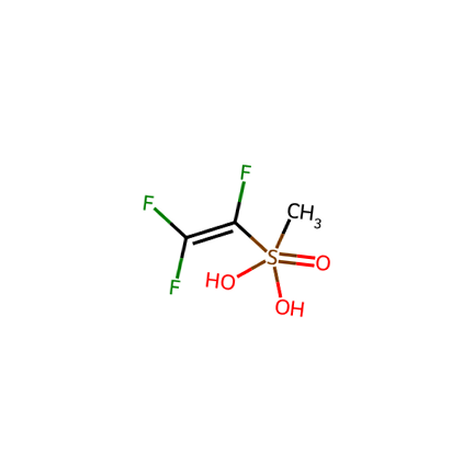 CS(=O)(O)(O)C(F)=C(F)F